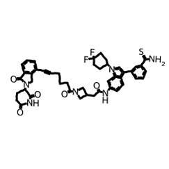 NC(=S)c1cccc(-c2cn(C3CCC(F)(F)CC3)c3cc(NC(=O)CC4CN(C(=O)CCCC#Cc5cccc6c5CN(C5CCC(=O)NC5=O)C6=O)C4)ccc23)c1